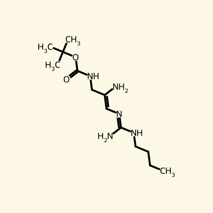 CCCCN/C(N)=N/C=C(\N)CNC(=O)OC(C)(C)C